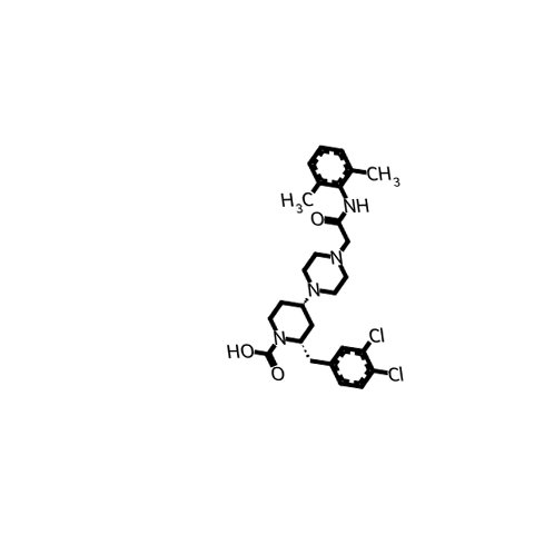 Cc1cccc(C)c1NC(=O)CN1CCN([C@H]2CCN(C(=O)O)[C@@H](Cc3ccc(Cl)c(Cl)c3)C2)CC1